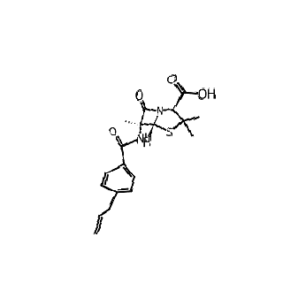 C=CCc1ccc(C(=O)N[C@@]2(C)C(=O)N3[C@@H](C(=O)O)C(C)(C)S[C@@H]32)cc1